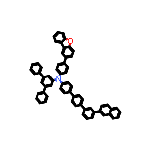 c1ccc(-c2cc(-c3ccccc3)cc(N(c3ccc(-c4ccc(-c5cccc(-c6ccc7ccccc7c6)c5)cc4)cc3)c3ccc(-c4ccc5oc6ccccc6c5c4)cc3)c2)cc1